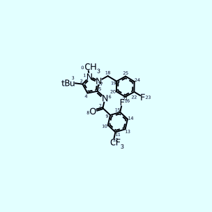 Cn1c(C(C)(C)C)c/c(=N\C(=O)c2cc(C(F)(F)F)ccc2F)n1Cc1ccc(F)cc1